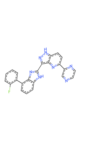 Fc1ccccc1-c1cccc2[nH]c(-c3n[nH]c4ccc(-c5cnccn5)nc34)nc12